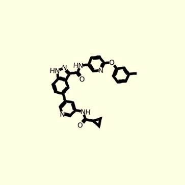 Cc1cccc(Oc2ccc(NC(=O)c3n[nH]c4ccc(-c5cncc(NC(=O)C6CC6)c5)cc34)cn2)c1